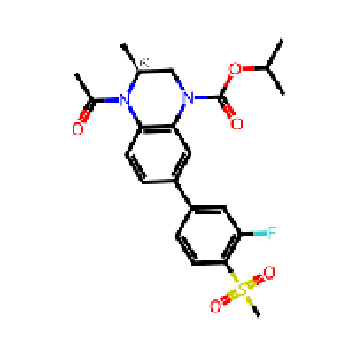 CC(=O)N1c2ccc(-c3ccc(S(C)(=O)=O)c(F)c3)cc2N(C(=O)OC(C)C)C[C@@H]1C